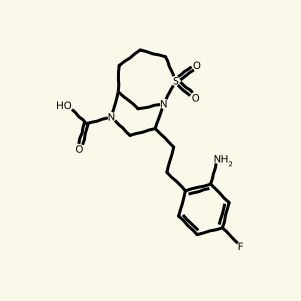 Nc1cc(F)ccc1CCC1CN(C(=O)O)C2CCCS(=O)(=O)N1C2